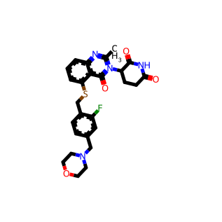 Cc1nc2cccc(SCc3ccc(CN4CCOCC4)cc3F)c2c(=O)n1C1CCC(=O)NC1=O